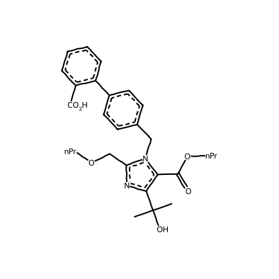 CCCOCc1nc(C(C)(C)O)c(C(=O)OCCC)n1Cc1ccc(-c2ccccc2C(=O)O)cc1